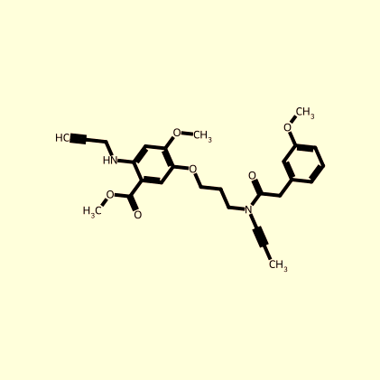 C#CCNc1cc(OC)c(OCCCN(C#CC)C(=O)Cc2cccc(OC)c2)cc1C(=O)OC